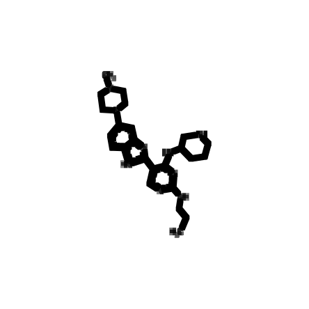 CCCNc1ncc(-c2nc3cc(N4CCN(C)CC4)ccc3[nH]2)c(NC2CCCNC2)n1